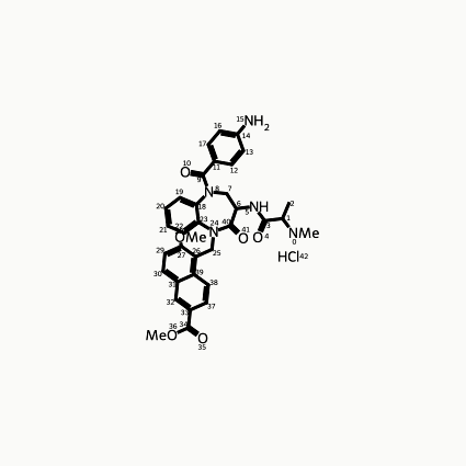 CNC(C)C(=O)NC1CN(C(=O)c2ccc(N)cc2)c2ccccc2N(Cc2c(OC)ccc3cc(C(=O)OC)ccc23)C1=O.Cl